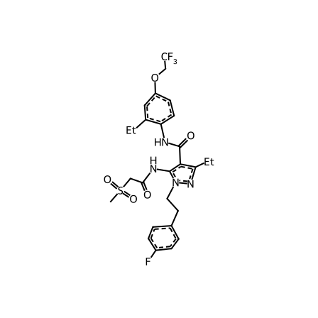 CCc1cc(OCC(F)(F)F)ccc1NC(=O)c1c(CC)nn(CCc2ccc(F)cc2)c1NC(=O)CS(C)(=O)=O